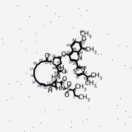 CCC(C)S(=O)(=O)NC(=O)[C@@]12C[C@H]1/C=C\CCCCCC(=O)N1C[C@H](Oc3cc(-c4nc(C(C)C)cs4)nc4c(C)c(OC)ccc34)C[C@H]1C(=O)N2